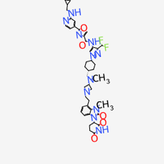 CN(C[C@H]1CC[C@H](n2cc(NC(=O)c3coc(-c4ccnc(NCC5CC5)c4)n3)c(C(F)F)n2)CC1)C1CN(CCc2cccc3c2n(C)c(=O)n3C2CCC(=O)NC2=O)C1